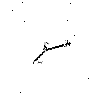 C=C(C)C(=O)OCCCCCCCCCC[N+](C)(CCCCCCCCCCCCCCCCCC)CCC(C)C